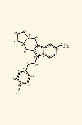 Cc1ccc2c(c1)c1c(n2CCc2ccc(F)cc2)CC2CCCN2C1